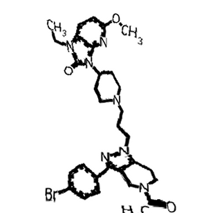 CCn1c(=O)n(C2CCN(CCCn3nc(-c4ccc(Br)cc4)c4c3CCN(C(C)=O)C4)CC2)c2nc(OC)ccc21